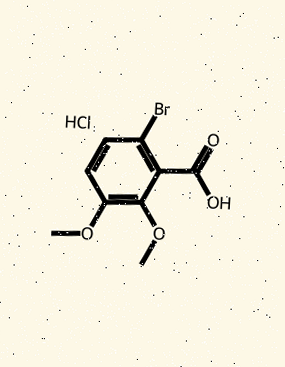 COc1ccc(Br)c(C(=O)O)c1OC.Cl